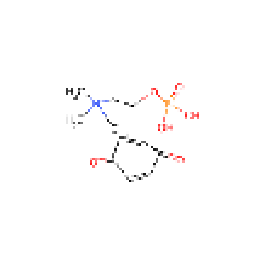 C[N+](C)(C)CCOP(=O)(O)O.O=C1C=CC(=O)C=C1